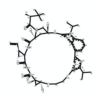 C=C[C@@H]1C[C@@]12NC(=O)[C@@H]1C[C@H](CN1C(=O)[C@@H](C)C(C)(C)C)Oc1nc3c(cccc3n1C(C)C)-c1nc(C(C)C)c(s1)CCCC[C@H]1C[C@@H]1S(=O)(=O)NC2=O